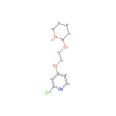 Clc1cc(OCCOC2CCCCO2)ccn1